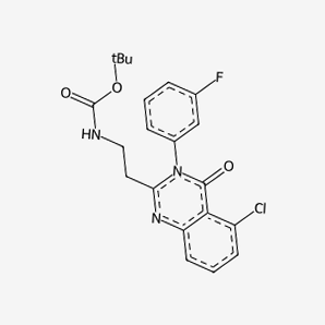 CC(C)(C)OC(=O)NCCc1nc2cccc(Cl)c2c(=O)n1-c1cccc(F)c1